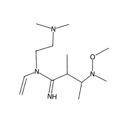 C=CN(CCN(C)C)C(=N)C(C)C(C)N(C)OC